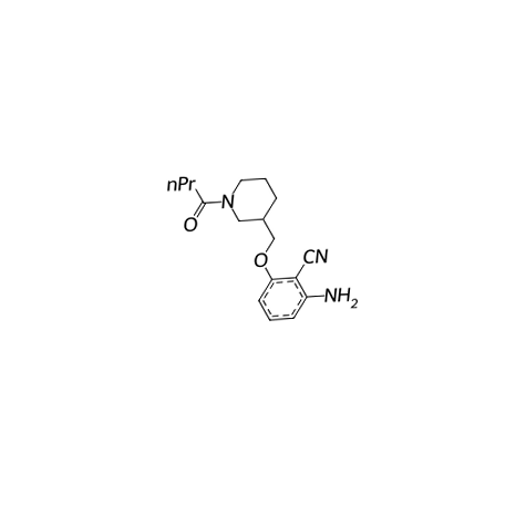 CCCC(=O)N1CCCC(COc2cccc(N)c2C#N)C1